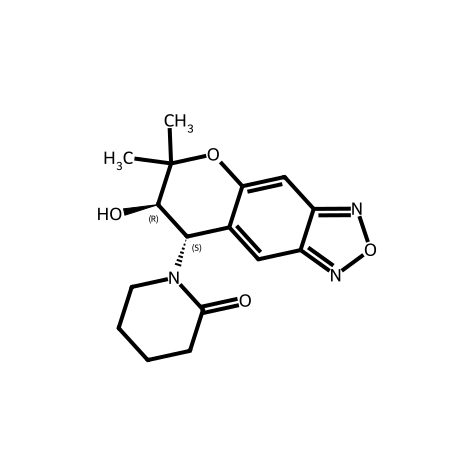 CC1(C)Oc2cc3nonc3cc2[C@H](N2CCCCC2=O)[C@H]1O